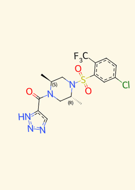 C[C@@H]1CN(C(=O)c2cnn[nH]2)[C@@H](C)CN1S(=O)(=O)c1cc(Cl)ccc1C(F)(F)F